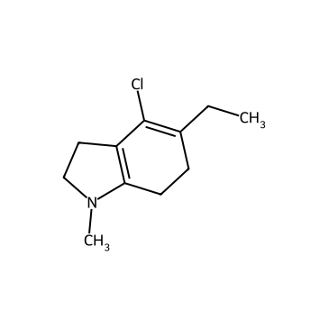 CCC1=C(Cl)C2=C(CC1)N(C)CC2